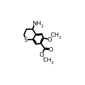 COC(=O)c1cc2c(cc1OC)C(N)CCS2